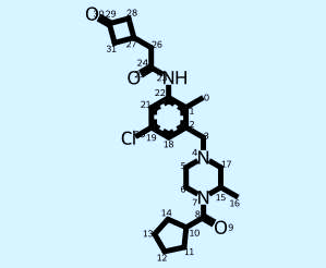 Cc1c(CN2CCN(C(=O)C3CCCC3)C(C)C2)cc(Cl)cc1NC(=O)CC1CC(=O)C1